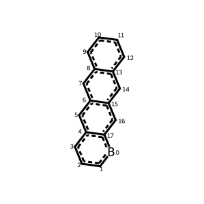 b1cccc2cc3cc4ccccc4cc3cc12